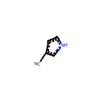 N#Cc1[c][nH]cc1